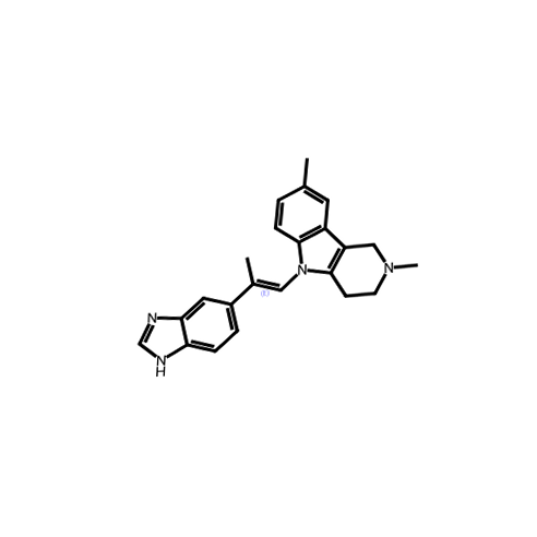 C/C(=C\n1c2c(c3cc(C)ccc31)CN(C)CC2)c1ccc2[nH]cnc2c1